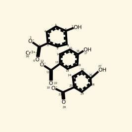 O=C([O-])c1ccc(O)cc1.O=C([O-])c1ccc(O)cc1.O=C([O-])c1ccc(O)cc1.[Cr+3]